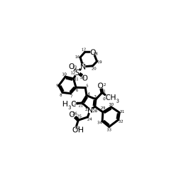 CC(=O)c1c(Cc2ccccc2S(=O)(=O)N2CCOCC2)c(C)n(CC(=O)O)c1-c1ccccc1